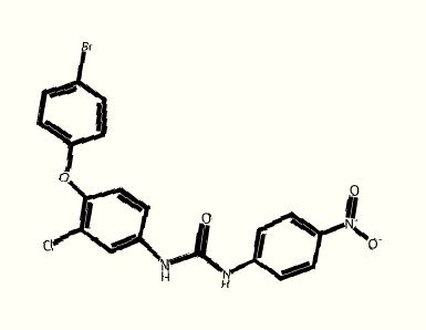 O=C(Nc1ccc([N+](=O)[O-])cc1)Nc1ccc(Oc2ccc(Br)cc2)c(Cl)c1